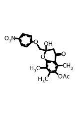 CC(=O)Oc1c(C)c(C)c2c(c1C)C(=O)CC(O)(COc1ccc([N+](=O)[O-])cc1)O2